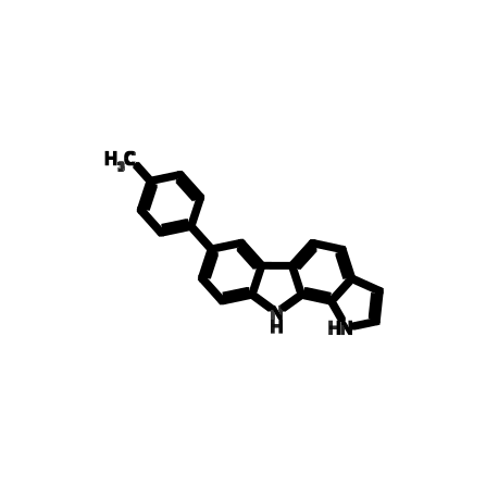 Cc1ccc(-c2ccc3[nH]c4c(ccc5cc[nH]c54)c3c2)cc1